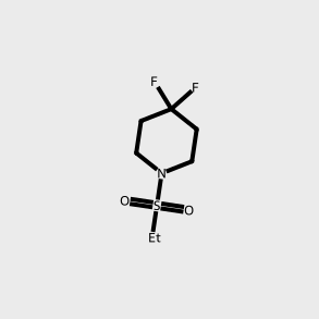 CCS(=O)(=O)N1CCC(F)(F)CC1